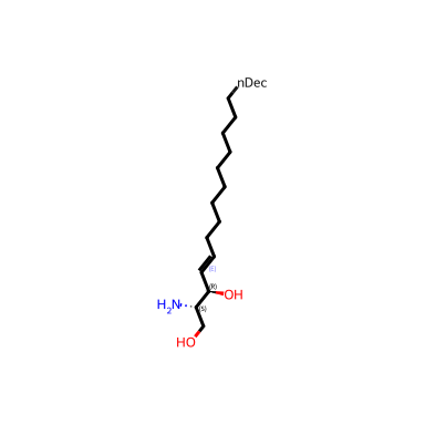 CCCCCCCCCCCCCCCCCCC/C=C/[C@@H](O)[C@@H](N)CO